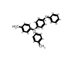 Cc1ccc([SH](c2ccc(C)cc2)c2ccc(Sc3ccccc3)cc2)cc1